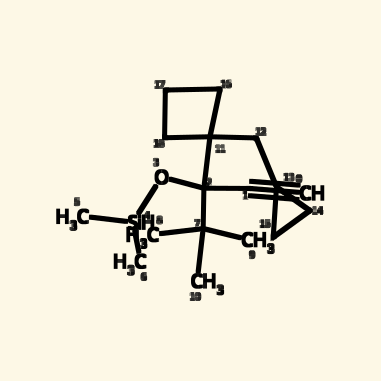 C#CC(O[SiH](C)C)(C(C)(C)C)C1(CC2CC2)CCC1